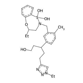 CCC1CN(Cc2cc(C(CCO)CCc3cn(CC)nn3)ccc2C)S(O)(O)c2ccccc2O1